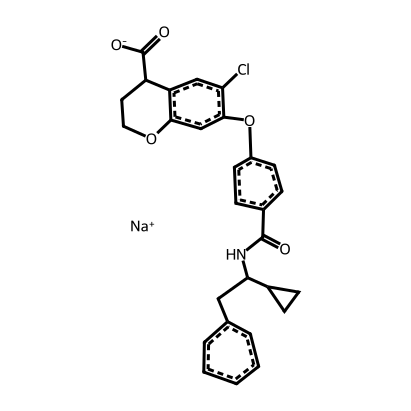 O=C(NC(Cc1ccccc1)C1CC1)c1ccc(Oc2cc3c(cc2Cl)C(C(=O)[O-])CCO3)cc1.[Na+]